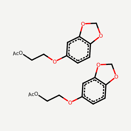 CC(=O)OCCOc1ccc2c(c1)OCO2.CC(=O)OCCOc1ccc2c(c1)OCO2